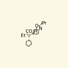 CC[C@@]1(C(=O)O)[C@@H](c2ccccc2)[C@@H]1c1ccc2nc(C(C)C)oc2c1